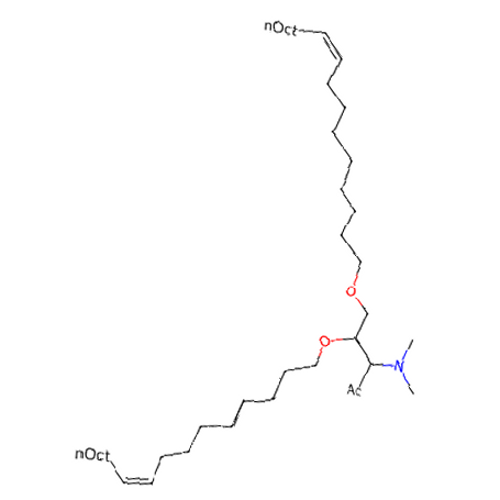 CCCCCCCC/C=C\CCCCCCCCOCC(OCCCCCCCC/C=C\CCCCCCCC)C(C(C)=O)N(C)C